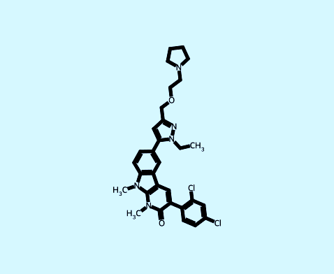 CCn1nc(COCCN2CCCC2)cc1-c1ccc2c(c1)c1cc(-c3ccc(Cl)cc3Cl)c(=O)n(C)c1n2C